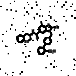 CCCc1nc2c(C)cc(C(=O)N[C@@H](CS)Cc3ccccc3)cc2n1Cc1ccc(-c2ccccc2C(=O)O)cc1